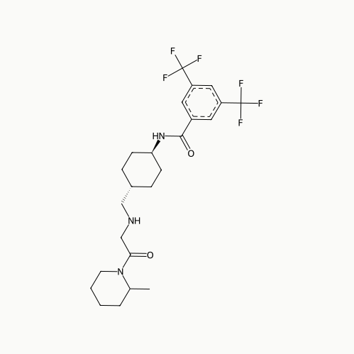 CC1CCCCN1C(=O)CNC[C@H]1CC[C@H](NC(=O)c2cc(C(F)(F)F)cc(C(F)(F)F)c2)CC1